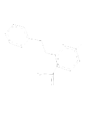 CC(C)(C)c1ccc(C(N)=O)c(CCc2ccccc2)n1